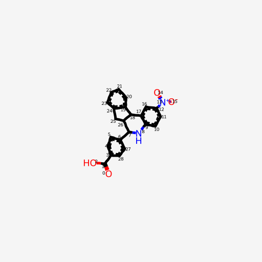 O=C(O)c1ccc(C2Nc3ccc([N+](=O)[O-])cc3C3c4ccccc4CC23)cc1